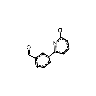 O=Cc1cc(-c2cccc(Cl)n2)ccn1